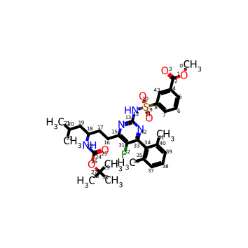 COC(=O)c1cccc(S(=O)(=O)Nc2nc(CCC(CC(C)C)NC(=O)OC(C)(C)C)c(F)c(-c3c(C)cccc3C)n2)c1